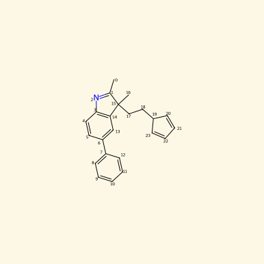 CC1=Nc2ccc(-c3ccccc3)cc2C1(C)CCC1C=CC=C1